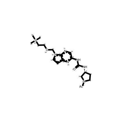 CC(=O)N1CC[C@@H](NC(=O)Nc2cnc3c(ccn3COCC[Si](C)(C)C)n2)C1